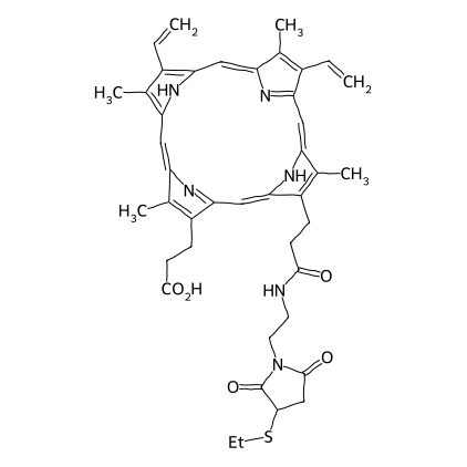 C=CC1=C(C)c2cc3[nH]c(cc4nc(cc5[nH]c(cc1n2)c(C)c5CCC(=O)NCCN1C(=O)CC(SCC)C1=O)C(CCC(=O)O)=C4C)c(C)c3C=C